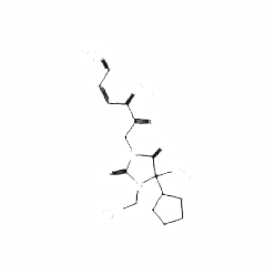 C=C/C=C\C(=C)C(=O)CN1C(=O)N(CC)C(C)(C2CCCC2)C1=O